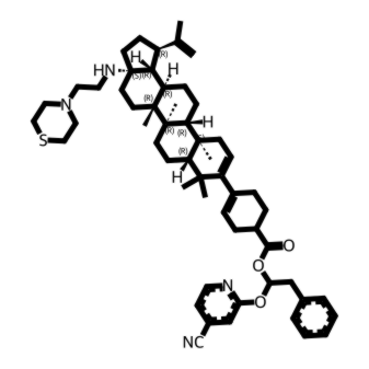 C=C(C)[C@@H]1CC[C@]2(NCCN3CCSCC3)CC[C@]3(C)[C@H](CC[C@@H]4[C@@]5(C)CC=C(C6=CCC(C(=O)OC(Cc7ccccc7)Oc7cc(C#N)ccn7)CC6)C(C)(C)[C@@H]5CC[C@]43C)[C@@H]12